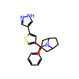 CC1(c2ccccc2)CC2CCC(C1)N2C(=O)c1csc(-c2cn[nH]c2)c1